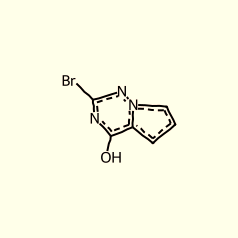 Oc1nc(Br)nn2cccc12